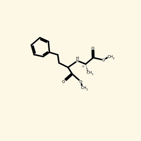 COC(=O)C(CCc1ccccc1)N[C@@H](C)C(=O)OC